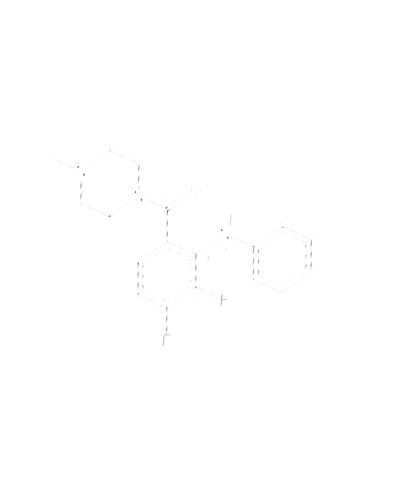 CN1CCN(C(=O)c2ccc(F)c(F)c2Nc2ccccc2)CC1